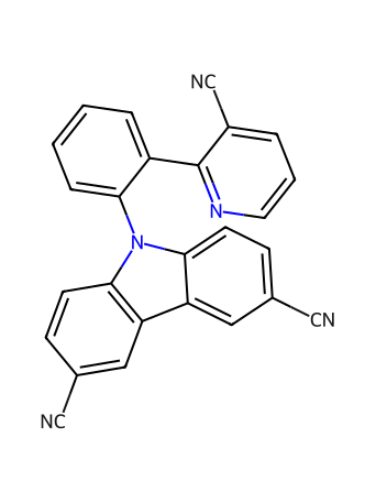 N#Cc1ccc2c(c1)c1cc(C#N)ccc1n2-c1ccccc1-c1ncccc1C#N